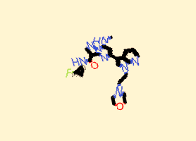 CNc1cc(-c2cn(CCN3CCOCC3)c3ncccc23)nc2c(C(=O)N[C@H]3C[C@H]3F)cnn12